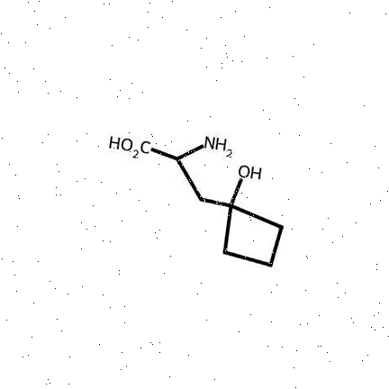 NC(CC1(O)CCC1)C(=O)O